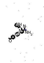 CC(=O)c1ccc(N2CCN(c3ccc(/C(C#N)=C\N)c(C[C@H]4C[C@@]5(CCCN5)C4)n3)CC2)cc1